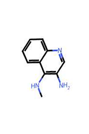 CNc1c(N)cnc2ccccc12